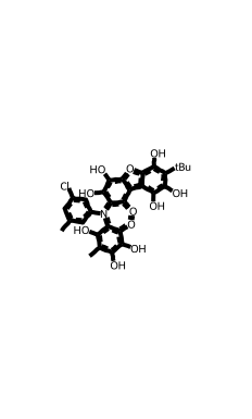 Cc1cc(Cl)cc(-n2c3c(O)c(C)c(O)c(O)c3ooc3c4c(oc5c(O)c(C(C)(C)C)c(O)c(O)c54)c(O)c(O)c32)c1